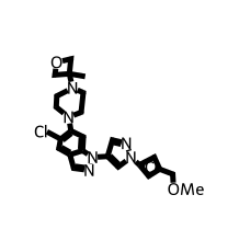 COCC12CC(n3cc(-n4ncc5cc(Cl)c(N6CCN(C7(C)COC7)CC6)cc54)cn3)(C1)C2